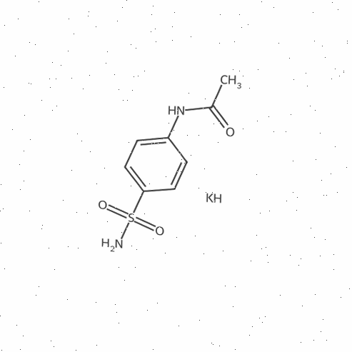 CC(=O)Nc1ccc(S(N)(=O)=O)cc1.[KH]